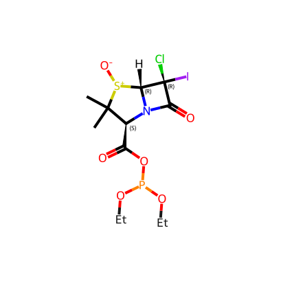 CCOP(OCC)OC(=O)[C@@H]1N2C(=O)[C@@](Cl)(I)[C@H]2[S+]([O-])C1(C)C